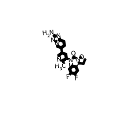 Cc1ncc(-c2ccc3nc(N)nn3c2)cc1NC(=O)N1OCC[C@H]1c1ccc(F)c(F)c1